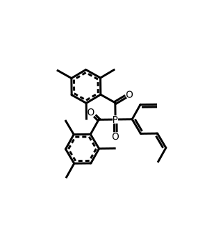 C=C/C(=C\C=C/C)P(=O)(C(=O)c1c(C)cc(C)cc1C)C(=O)c1c(C)cc(C)cc1C